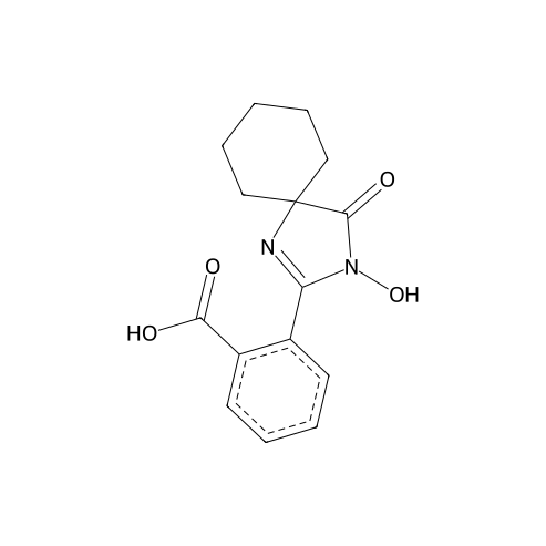 O=C(O)c1ccccc1C1=NC2(CCCCC2)C(=O)N1O